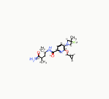 CC(C[C@H](C)NC(=O)c1ccc(N2CC(C)(F)C2)c(OCC2CC2)n1)C(N)=O